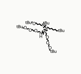 CC(C)(C)CCCCCCN(C(C)(C)N(CCCCOCC(C)(C)C)C(C)(C)C)C(C)(C)N(CCOCCOCCOCC(C)(C)C)C(C)(C)NCCOCCOCCOCC(C)(C)C